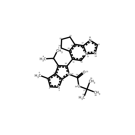 Cc1csc2c1c(C(C)C)c(-c1cn3ncnc3c3c1CCC3)n2C(=O)OC(C)(C)C